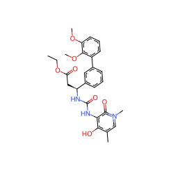 CCOC(=O)C[C@H](NC(=O)Nc1c(O)c(C)cn(C)c1=O)c1cccc(-c2cccc(OC)c2OC)c1